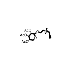 C#CC[N+](C)(C)CCOC1OC[C@@H](OC(C)=O)[C@H](OC(C)=O)[C@H]1OC(C)=O